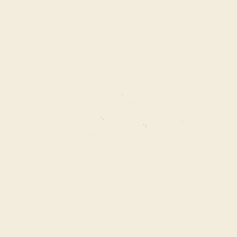 CC(C)(C)OC(=O)N(C(=O)OC(C)(C)C)c1ccc(Cl)cc1-c1cc2n(c(=O)c1)C(CCBr)CC2